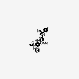 C=CC(=O)Nc1cc(Nc2nccc(-n3cc(CN(C)C)c(-c4ccc(F)cc4)n3)n2)c(OC)cc1N1CCOCC1